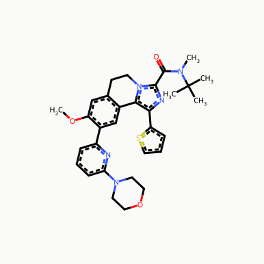 COc1cc2c(cc1-c1cccc(N3CCOCC3)n1)-c1c(-c3cccs3)nc(C(=O)N(C)C(C)(C)C)n1CC2